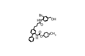 CN1CCC(OC(=O)Nc2cc(CCCC(=O)Nc3ccc(CO)cc3Br)ccc2-c2ccccc2)CC1